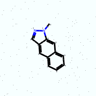 Cn1ncc2cc3ccccc3cc21